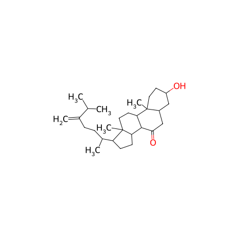 C=C(CCC(C)C1CCC2C3C(=O)CC4CC(O)CCC4(C)C3CCC12C)C(C)C